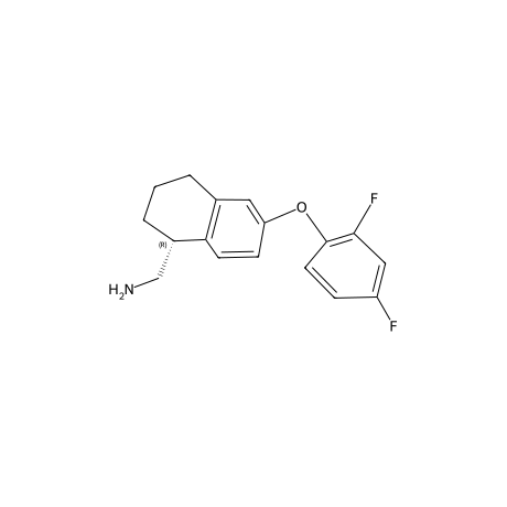 NC[C@@H]1CCCc2cc(Oc3ccc(F)cc3F)ccc21